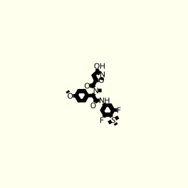 COc1ccc(C(C(=O)Nc2cc(F)c(S(C)(C)C)c(F)c2)N(C)C(=O)c2cc(O)no2)cc1